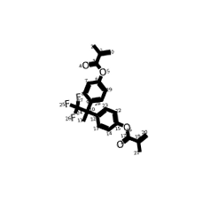 C=C(C)C(=O)Oc1ccc(C(C)(c2ccc(OC(=O)C(=C)C)cc2)C(F)(F)F)cc1